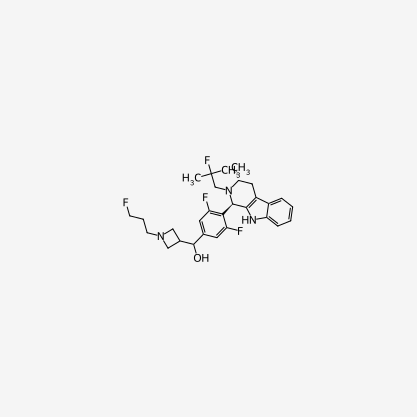 C[C@@H]1Cc2c([nH]c3ccccc23)[C@@H](c2c(F)cc(C(O)C3CN(CCCF)C3)cc2F)N1CC(C)(C)F